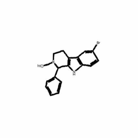 ON1CCc2c([nH]c3ccc(Br)cc23)C1c1ccccc1